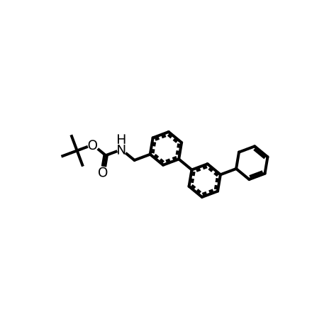 CC(C)(C)OC(=O)NCc1cccc(-c2cccc(C3C=CC=CC3)c2)c1